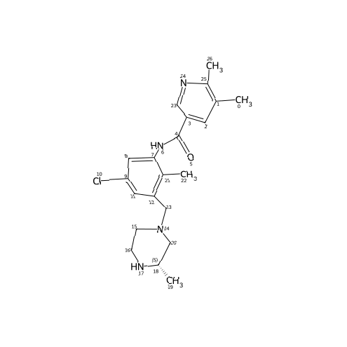 Cc1cc(C(=O)Nc2cc(Cl)cc(CN3CCN[C@@H](C)C3)c2C)cnc1C